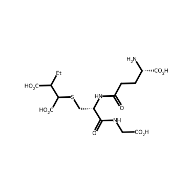 CCC(C(=O)O)C(SC[C@H](NC(=O)CC[C@H](N)C(=O)O)C(=O)NCC(=O)O)C(=O)O